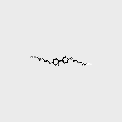 CCCCCCOCCCCc1ccc(-c2ccc(OCCCCOCCCC)nc2)nn1